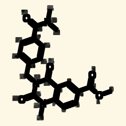 COC(=O)c1ccc2c(c1)c(=O)n(Cc1ccc(C(=O)N(C)C)cc1)c(=O)n2C